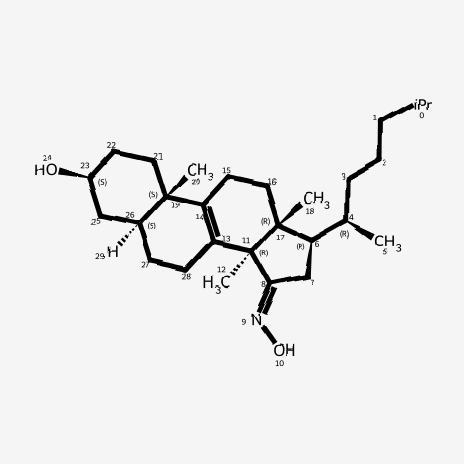 CC(C)CCC[C@@H](C)[C@H]1CC(=NO)[C@@]2(C)C3=C(CC[C@]12C)[C@@]1(C)CC[C@H](O)C[C@@H]1CC3